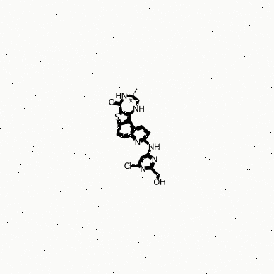 C[C@@H]1CNc2c(sc3ccc4nc(Nc5cc(Cl)nc(CO)n5)ccc4c23)C(=O)N1